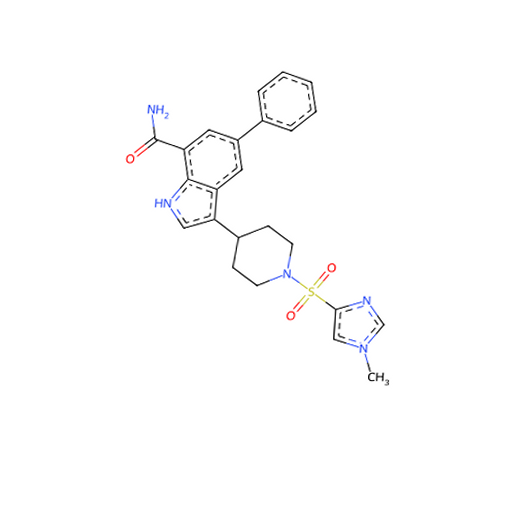 Cn1cnc(S(=O)(=O)N2CCC(c3c[nH]c4c(C(N)=O)cc(-c5ccccc5)cc34)CC2)c1